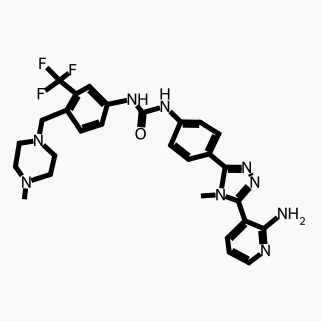 CN1CCN(Cc2ccc(NC(=O)Nc3ccc(-c4nnc(-c5cccnc5N)n4C)cc3)cc2C(F)(F)F)CC1